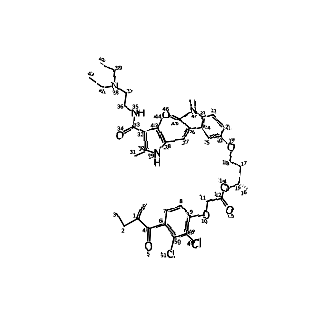 C=C(CC)C(=O)c1ccc(OCC(=O)O[C@@H](C)CCOc2ccc3c(c2)/C(=C/c2[nH]c(C)c(C(=O)NCCN(CC)CC)c2C)C(=O)N3)c(Cl)c1Cl